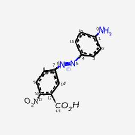 Nc1ccc(/N=N/c2ccc([N+](=O)[O-])c(C(=O)O)c2)cc1